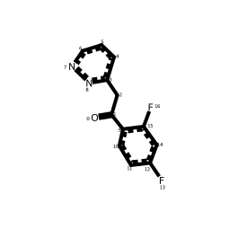 O=C(Cc1cccnn1)c1ccc(F)cc1F